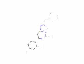 Oc1nc(-c2ccc(Cl)cc2Cl)cc2nc(CN3CCCCC3)nn12